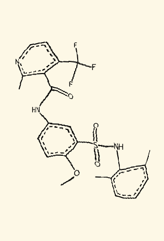 COc1ccc(NC(=O)c2c(C(F)(F)F)ccnc2C)cc1S(=O)(=O)Nc1c(C)cccc1C